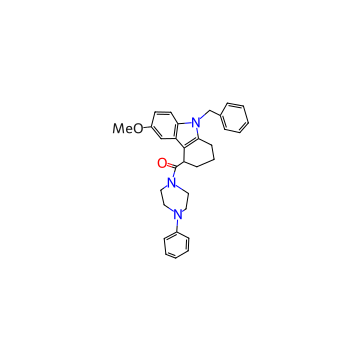 COc1ccc2c(c1)c1c(n2Cc2ccccc2)CCCC1C(=O)N1CCN(c2ccccc2)CC1